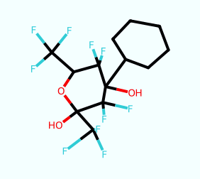 OC1(C(F)(F)F)OC(C(F)(F)F)C(F)(F)C(O)(C2CCCCC2)C1(F)F